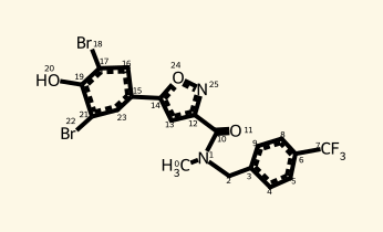 CN(Cc1ccc(C(F)(F)F)cc1)C(=O)c1cc(-c2cc(Br)c(O)c(Br)c2)on1